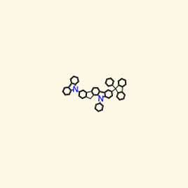 c1ccc(-n2c3ccc(C4(c5ccccc5)c5ccccc5-c5ccccc54)cc3c3ccc4c(c32)Cc2ccc(-n3c5ccccc5c5ccccc53)cc2-4)cc1